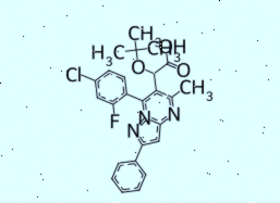 Cc1nc2cc(-c3ccccc3)nn2c(-c2ccc(Cl)cc2F)c1C(OC(C)(C)C)C(=O)O